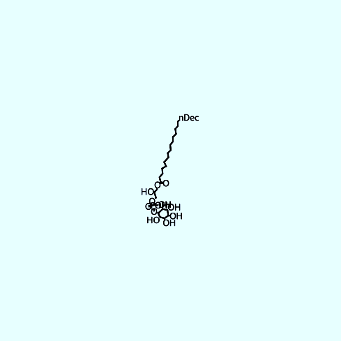 CCCCCCCCCCCCCCCCCCCCCCCCCC(=O)OCC(O)COP(=O)(O)OC1C(O)C(O)C(O)C(O)C1O